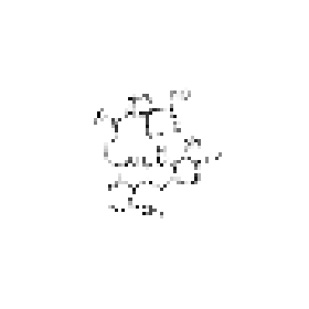 C=C(/C=C\C=C(/C)n1ncc(C(=O)N=O)c1CCC)C1=CCCC(C)=C1CCc1ccc(CCC)c(CCC)c1C